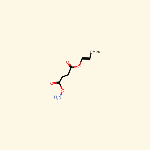 CCCCCCC=COC(=O)CCC(=O)ON